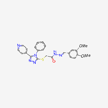 COc1ccc(/C=N/NC(=O)CSc2nnc(-c3ccncc3)n2-c2ccccc2)cc1OC